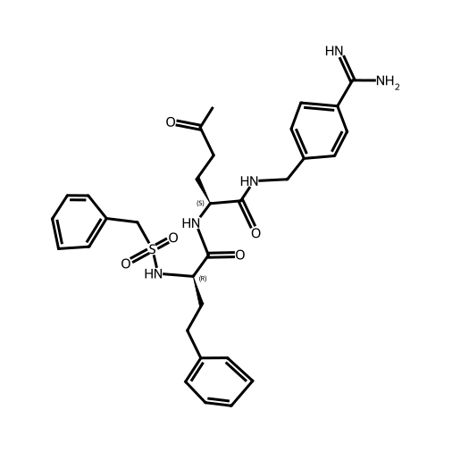 CC(=O)CC[C@H](NC(=O)[C@@H](CCc1ccccc1)NS(=O)(=O)Cc1ccccc1)C(=O)NCc1ccc(C(=N)N)cc1